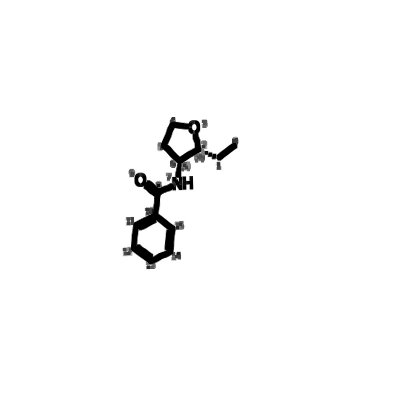 CC[C@H]1OCC[C@@H]1NC(=O)c1ccccc1